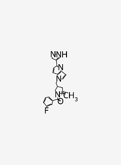 C[C@@H]1CC(Cn2ccc3nc(-c4cn[nH]c4)ccc32)CN1C(=O)c1cccc(F)c1